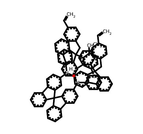 C=Cc1ccc(CC2(c3cc(C)ccc3C)c3ccccc3-c3ccc(N(c4ccccc4)c4ccc5c(c4)C4(c6ccccc6-5)c5ccccc5-c5ccc(N(c6ccccc6)c6ccc7c(c6)C(Cc6ccc(C=C)cc6)(c6cc(C)ccc6C)c6ccccc6-7)cc54)cc32)cc1